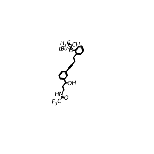 CC(C)(C)[Si](C)(C)Oc1ccccc1CCC#Cc1cccc(C(O)CCNC(=O)C(F)(F)F)c1